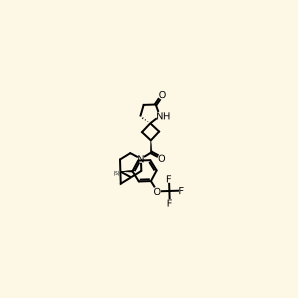 O=C1CC[C@]2(C[C@H](C(=O)N3CC[C@@]4(c5cccc(OC(F)(F)F)c5)CC4C3)C2)N1